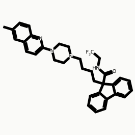 Cc1ccc2nc(N3CCN(CCCCC4(C(=O)NCC(F)(F)F)c5ccccc5-c5ccccc54)CC3)ccc2c1